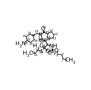 CCCCOC(=O)NC(C(=O)N1CCCC1C(=O)NCC1CCC(N)CC1)C(C)(C)SCCC